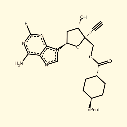 C#C[C@]1(COC(=O)[C@H]2CC[C@H](CCCCC)CC2)O[C@@H](n2cnc3c(N)nc(F)nc32)C[C@@H]1O